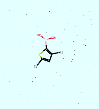 CCc1cc(CC)c(B(O)O)s1